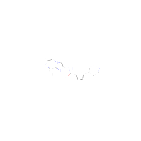 Cc1cn2cc(NC(=O)c3sc(C4CCNCC4)cc3F)nc2c(C)n1